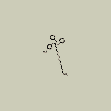 Cl.NCCCCCCCCCCCCCC(Cc1ccccc1)(Cc1ccccc1)Cc1ccccc1